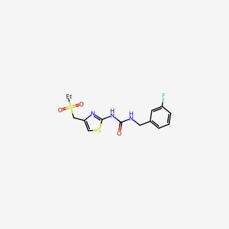 CCS(=O)(=O)Cc1csc(NC(=O)NCc2cccc(F)c2)n1